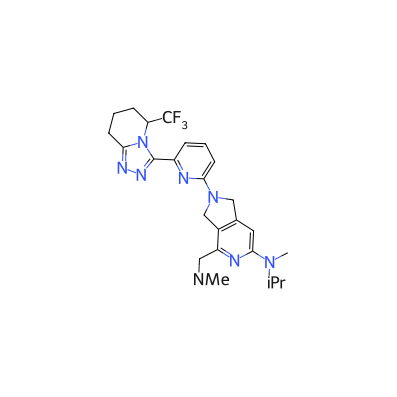 CNCc1nc(N(C)C(C)C)cc2c1CN(c1cccc(-c3nnc4n3C(C(F)(F)F)CCC4)n1)C2